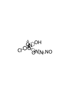 CC(C)(CN=O)N1CCN(C(=O)CC2([C@H]3C[C@@H](O)C[C@@H](C4CC4)N3S(=O)(=O)c3ccc(Cl)cc3)CC2)CC1